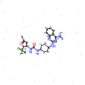 Cc1cc(NC(=O)NC2CCC(Nc3nc(N(C)C)c4ccccc4n3)CC2)c(C(F)(F)F)o1